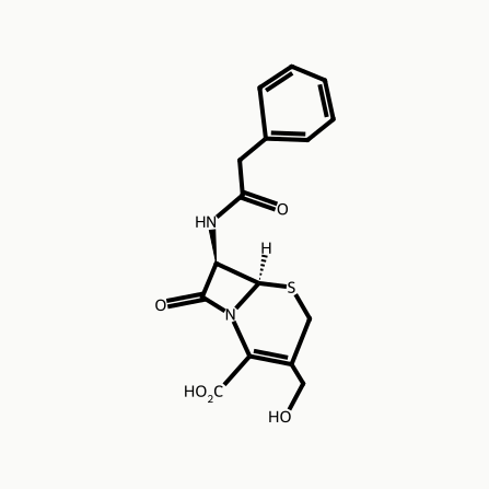 O=C(Cc1ccccc1)N[C@@H]1C(=O)N2C(C(=O)O)=C(CO)CS[C@H]12